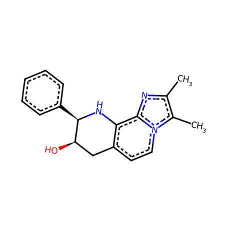 Cc1nc2c3c(ccn2c1C)C[C@@H](O)[C@@H](c1ccccc1)N3